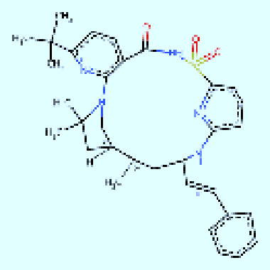 C[C@H]1CC(/C=C/c2ccccc2)Nc2cccc(n2)S(=O)(=O)NC(=O)c2ccc(C(C)(C)C)nc2N2C[C@@H]1CC2(C)C